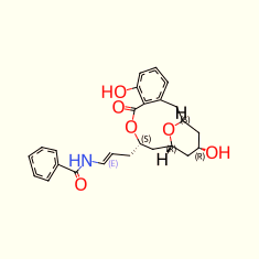 O=C(N/C=C/C[C@H]1C[C@H]2C[C@H](O)C[C@H](Cc3cccc(O)c3C(=O)O1)O2)c1ccccc1